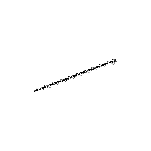 CCCOCCOCCOCCOCCOCCOCCOCCOCCOCCOCCOCCOCCOCCOCCOCCOCCOCCOCCOCCC(=O)OC(C)(C)C